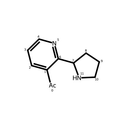 CC(=O)c1cccnc1C1CCCN1